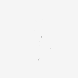 CN1Cc2c(Cl)cc(Cl)cc2[C@@H](c2ccc(S(C)(=O)=O)cc2)C1